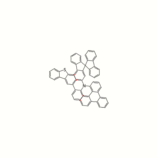 c1ccc(N(c2ccc3c(c2)C2(c4ccccc4-c4ccccc42)c2ccccc2-3)c2cccc3c4ccccc4c4ccccc4c23)c(-c2ccc3sc4ccccc4c3c2)c1